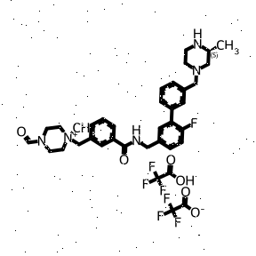 C[C@H]1CN(Cc2cccc(-c3cc(CNC(=O)c4cccc(C[N+]5(C)CCN(C=O)CC5)c4)ccc3F)c2)CCN1.O=C(O)C(F)(F)F.O=C([O-])C(F)(F)F